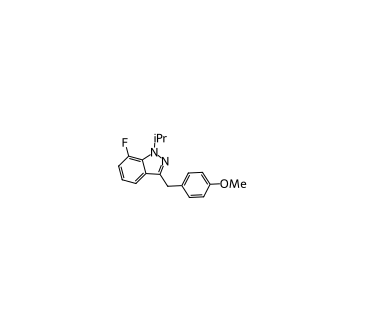 COc1ccc(Cc2nn(C(C)C)c3c(F)cccc23)cc1